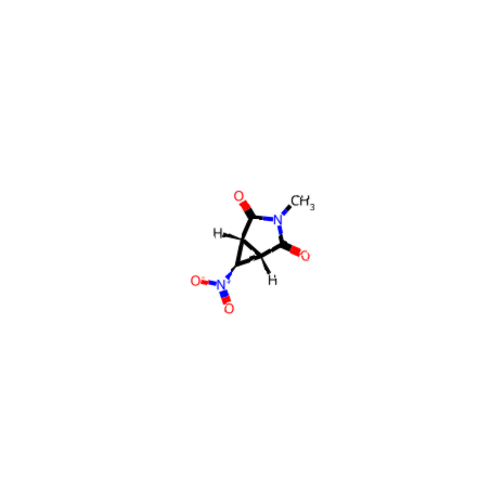 CN1C(=O)[C@@H]2[C@H](C1=O)[C@H]2[N+](=O)[O-]